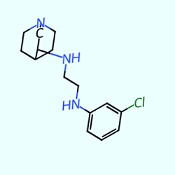 Clc1cccc(NCCNC2CN3CCC2CC3)c1